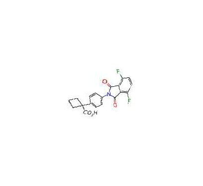 O=C1c2c(F)ccc(F)c2C(=O)N1c1ccc(C2(C(=O)O)CCC2)cc1